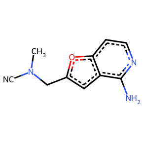 CN(C#N)Cc1cc2c(N)nccc2o1